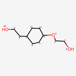 OCCOC1CCC(CCO)CC1